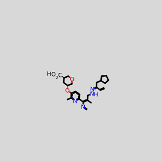 C=C/C(CC1CCCC1)=N\NC/C(C)=C(/N=C)c1ccc(O[C@H]2COC[C@H](C(=O)O)C2)c(C)n1